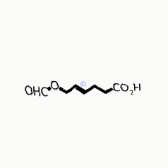 O=COC/C=C/CCC(=O)O